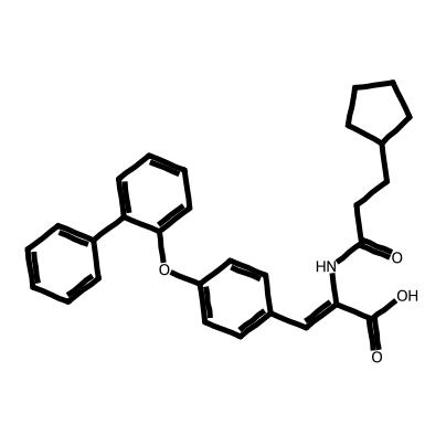 O=C(CCC1CCCC1)N/C(=C\c1ccc(Oc2ccccc2-c2ccccc2)cc1)C(=O)O